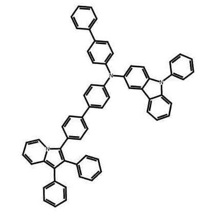 c1ccc(-c2ccc(N(c3ccc(-c4ccc(-c5c(-c6ccccc6)c(-c6ccccc6)c6ccccn56)cc4)cc3)c3ccc4c(c3)c3ccccc3n4-c3ccccc3)cc2)cc1